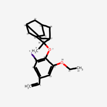 C=Cc1cc(I)c(OC2(C)C3CC4CC(C3)CC2C4)c(OCC)c1